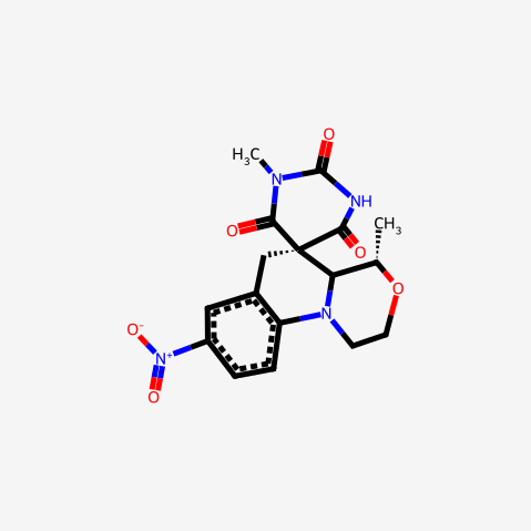 C[C@@H]1OCCN2c3ccc([N+](=O)[O-])cc3C[C@]3(C(=O)NC(=O)N(C)C3=O)C12